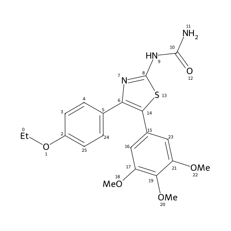 CCOc1ccc(-c2nc(NC(N)=O)sc2-c2cc(OC)c(OC)c(OC)c2)cc1